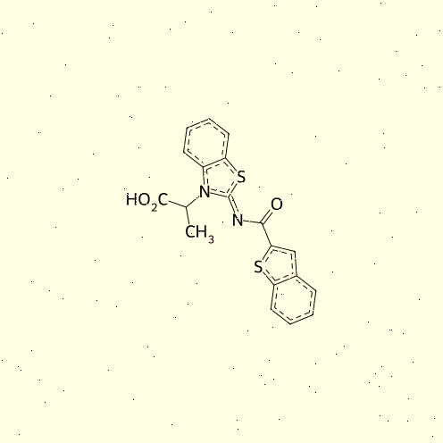 CC(C(=O)O)n1c(=NC(=O)c2cc3ccccc3s2)sc2ccccc21